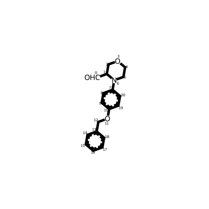 O=CC1COCCN1c1ccc(OCc2ccccc2)cc1